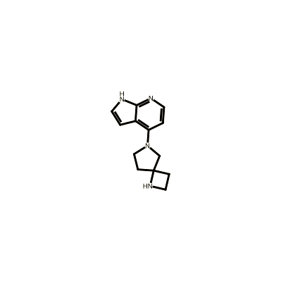 c1cc(N2CCC3(CCN3)C2)c2cc[nH]c2n1